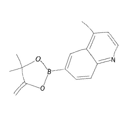 C=C1OB(c2ccc3nccc(C)c3c2)OC1(C)C